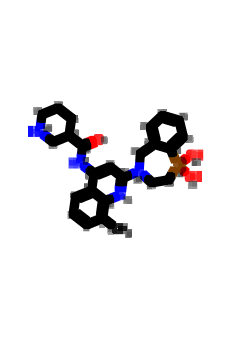 Cc1cccc2c(NC(=O)C3CCCNC3)cc(N3CCS(O)(O)c4ccccc4C3)nc12